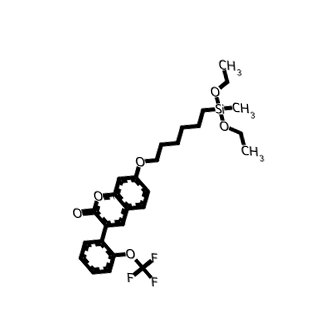 CCO[Si](C)(CCCCCCOc1ccc2cc(-c3ccccc3OC(F)(F)F)c(=O)oc2c1)OCC